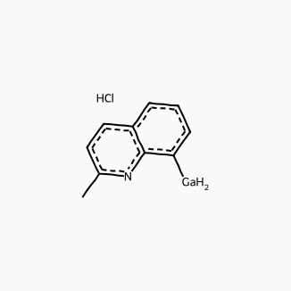 Cc1ccc2ccc[c]([GaH2])c2n1.Cl